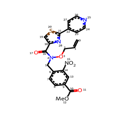 C=CCON(Cc1ccc(C(=O)OC)cc1[N+](=O)[O-])C(=O)c1csc(-c2ccncc2)n1